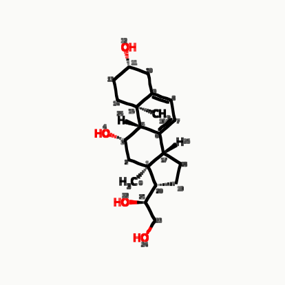 C[C@]12C[C@H](O)[C@H]3C(=CC=C4C[C@@H](O)CC[C@@]43C)[C@@H]1CC[C@@H]2[C@H](O)CO